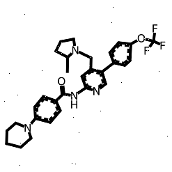 CC1CCCN1Cc1cc(NC(=O)c2ccc(N3CCCCC3)cc2)ncc1-c1ccc(OC(F)(F)F)cc1